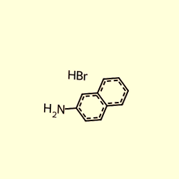 Br.Nc1ccc2ccccc2c1